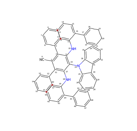 N#Cc1c(-c2ccccc2)c(Nc2ccccc2C2=CCCC=C2)c(-n2c3ccccc3c3ccccc32)c(Nc2ccccc2-c2ccccc2)c1-c1ccccc1